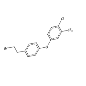 FC(F)(F)c1cc(Oc2ccc(CCBr)cc2)ccc1Cl